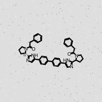 O=C([CH]c1ccccc1)N1CCCC1c1ncc(-c2ccc(-c3ccc(-c4cnc([C@@H]5CCCN5C(=O)[CH]c5ccccc5)[nH]4)cc3)cc2)[nH]1